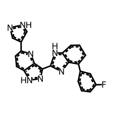 Fc1cccc(-c2cccc3[nH]c(-c4n[nH]c5ccc(-c6cn[nH]c6)nc45)nc23)c1